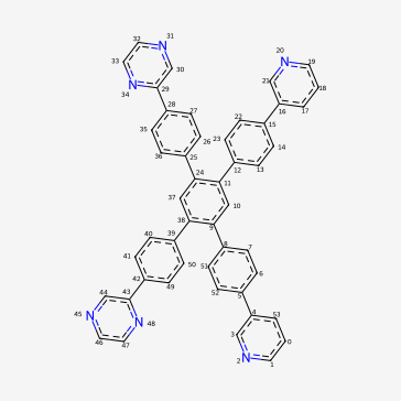 c1cncc(-c2ccc(-c3cc(-c4ccc(-c5cccnc5)cc4)c(-c4ccc(-c5cnccn5)cc4)cc3-c3ccc(-c4cnccn4)cc3)cc2)c1